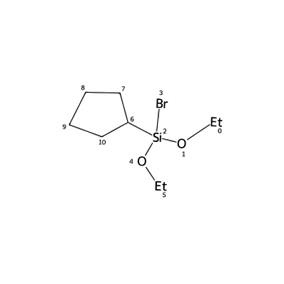 CCO[Si](Br)(OCC)C1CCCC1